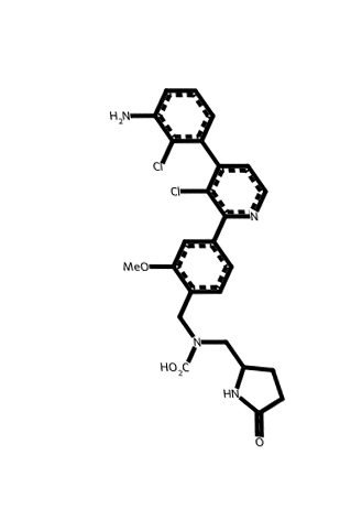 COc1cc(-c2nccc(-c3cccc(N)c3Cl)c2Cl)ccc1CN(CC1CCC(=O)N1)C(=O)O